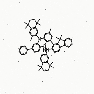 Cc1cc(-c2c(Nc3ccc4c(c3)C(C)(C)CCC4(C)C)ccc3c2C(C)(C)c2ccccc2-3)c2c(c1)N(c1cc3c(cc1C)C(C)(C)CCC3(C)C)c1cc(-c3ccccc3)ccc1B2